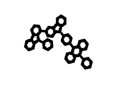 c1ccc(-c2c3ccccc3c(-c3ccc(-n4c5ccccc5c5cc(-c6cccc7c8ccccc8n(-c8ccccc8)c67)ccc54)cc3)c3ccccc23)cc1